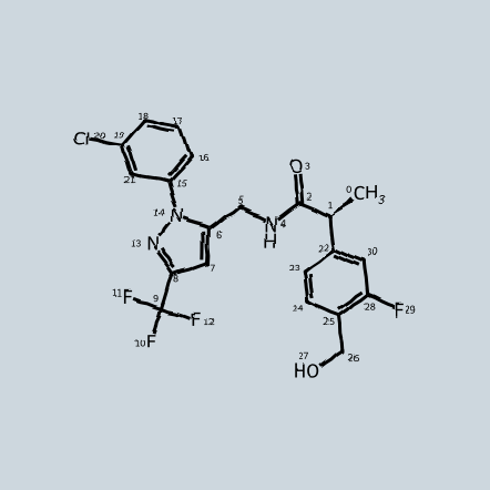 C[C@H](C(=O)NCc1cc(C(F)(F)F)nn1-c1cccc(Cl)c1)c1ccc(CO)c(F)c1